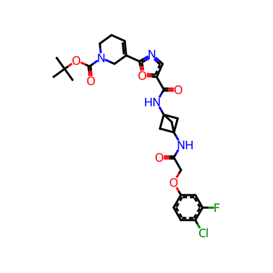 CC(C)(C)OC(=O)N1CCC=C(c2ncc(C(=O)NC34CC(NC(=O)COc5ccc(Cl)c(F)c5)(C3)C4)o2)C1